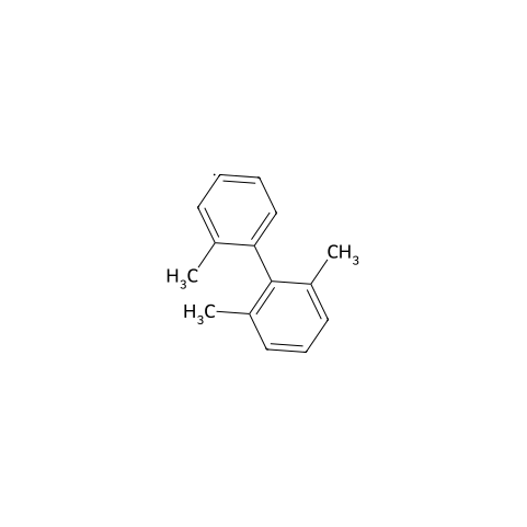 Cc1c[c]ccc1-c1c(C)cccc1C